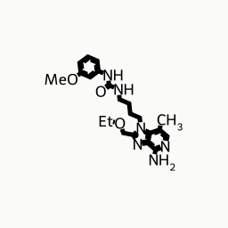 CCOCc1nc2c(N)ncc(C)c2n1CCCCNC(=O)Nc1cccc(OC)c1